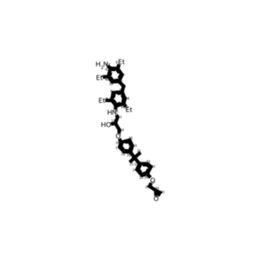 CCc1cc(Cc2cc(CC)c(NCC(O)COc3ccc(C(C)(C)c4ccc(OCC5CO5)cc4)cc3)c(CC)c2)cc(CC)c1N